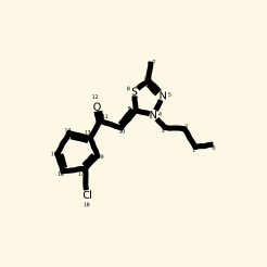 CCCCN1N=C(C)SC1=CC(=O)c1cccc(Cl)c1